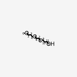 COCCCOCCOCCCO